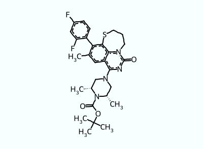 Cc1cc2c(N3C[C@@H](C)N(C(=O)OC(C)(C)C)[C@@H](C)C3)nc(=O)n3c2c(c1-c1ccc(F)cc1F)SCCC3